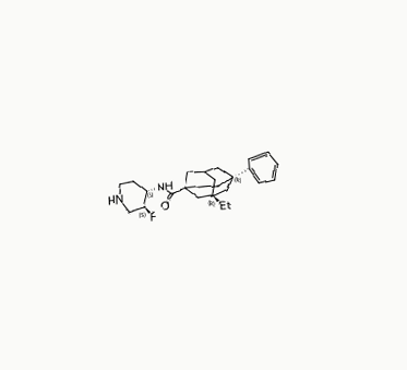 CC[C@]12CC3CC(C(=O)N[C@H]4CCNC[C@@H]4F)(C1)C[C@@](c1ccccc1)(C3)C2